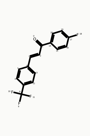 O=C(C=Cc1ccc(C(F)(F)F)cc1)c1ccc(F)cc1